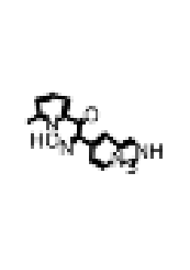 Cc1cccc(C(=O)C(=NO)C2=CC3=CNSN3C=C2)n1